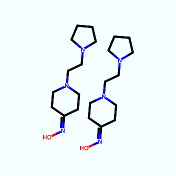 ON=C1CCN(CCN2CCCC2)CC1.ON=C1CCN(CCN2CCCC2)CC1